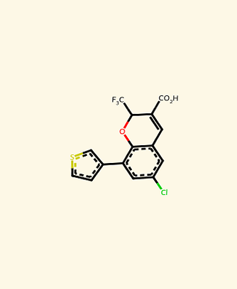 O=C(O)C1=Cc2cc(Cl)cc(-c3ccsc3)c2OC1C(F)(F)F